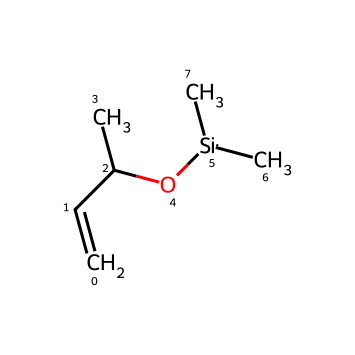 C=CC(C)O[Si](C)C